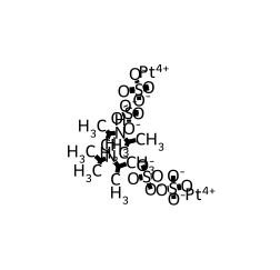 CC(C)NC(C)C.CC(C)NC(C)C.O=S(=O)([O-])[O-].O=S(=O)([O-])[O-].O=S(=O)([O-])[O-].O=S(=O)([O-])[O-].[Pt+4].[Pt+4]